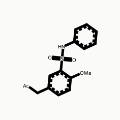 COc1ccc(CC(C)=O)cc1S(=O)(=O)Nc1ccccc1